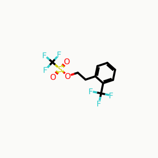 O=S(=O)(OCCc1ccccc1C(F)(F)F)C(F)(F)F